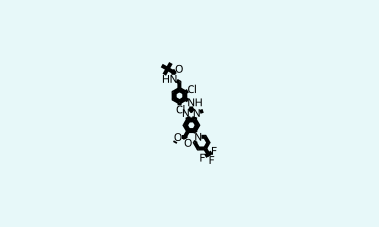 COC(=O)c1cc2nc(Nc3c(Cl)ccc(CNC(=O)C(C)(C)C)c3Cl)n(C)c2cc1N1CCC(C(F)(F)F)CC1